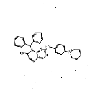 O=c1ccc2cnc(Nc3ccc(N4CCCCC4)cc3)nc2n1C(c1ccccc1)c1ccccc1